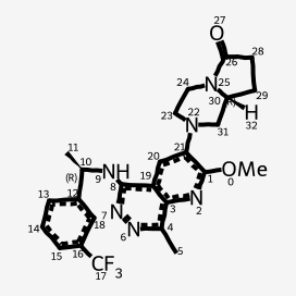 COc1nc2c(C)nnc(N[C@H](C)c3cccc(C(F)(F)F)c3)c2cc1N1CCN2C(=O)CC[C@@H]2C1